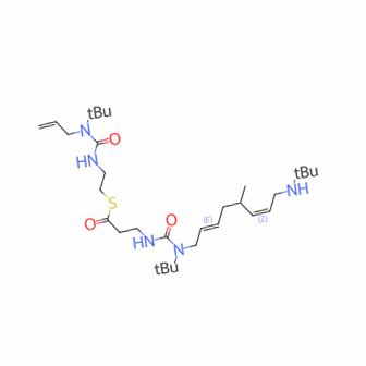 C=CCN(C(=O)NCCSC(=O)CCNC(=O)N(C/C=C/CC(C)/C=C\CNC(C)(C)C)C(C)(C)C)C(C)(C)C